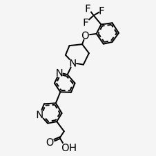 O=C(O)Cc1cncc(-c2ccc(N3CCC(Oc4ccccc4C(F)(F)F)CC3)nc2)c1